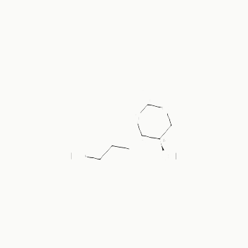 C[C@@H]1OC[C@@H](O)[C@H](CCCO)O1